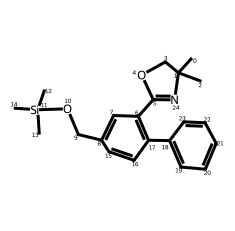 CC1(C)COC(c2cc(CO[Si](C)(C)C)ccc2-c2ccccc2)=N1